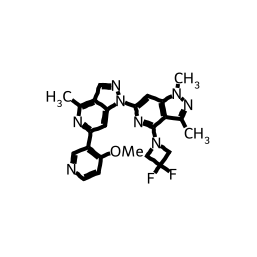 COc1ccncc1-c1cc2c(cnn2-c2cc3c(c(C)nn3C)c(N3CC(F)(F)C3)n2)c(C)n1